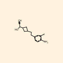 C#CC(O)C1CC(CCc2ccc(N)c(I)c2)C1